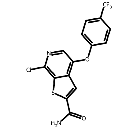 NC(=O)c1cc2c(Oc3ccc(C(F)(F)F)cc3)cnc(Cl)c2s1